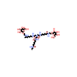 C=C(CCCCCNC(=O)CN(CC(=O)NCCCCCC(=O)NCCO[C@H]1O[C@H](CO)[C@@H](O)[C@H](O)[C@@H]1O)C(=O)CNC(=O)CCCCC(=O)NCC)NCCO[C@H]1O[C@H](CO)[C@@H](O)[C@H](O)[C@@H]1O